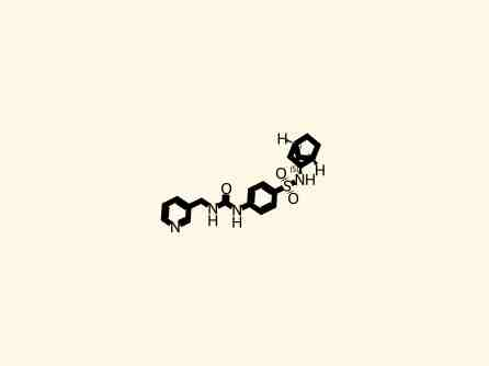 O=C(NCc1cccnc1)Nc1ccc(S(=O)(=O)N[C@H]2C[C@H]3CC[C@H]2C3)cc1